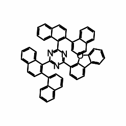 c1ccc2c(-c3ccc4ccccc4c3-c3nc(-c4c(-c5cccc6ccccc56)ccc5ccccc45)nc(-c4cccc5c4oc4ccccc45)n3)cccc2c1